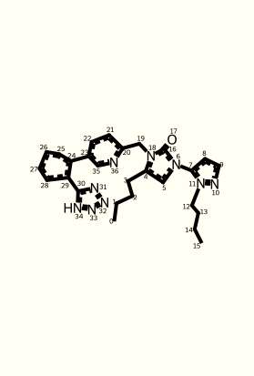 CCCCc1cn(-c2ccnn2CCCC)c(=O)n1Cc1ccc(-c2ccccc2-c2nnn[nH]2)cn1